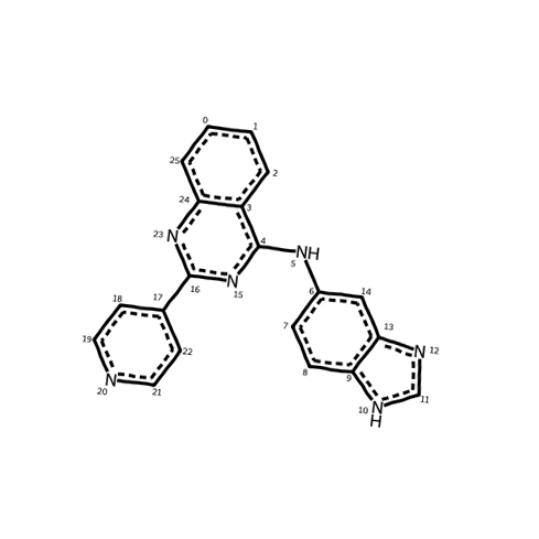 c1ccc2c(Nc3ccc4[nH]cnc4c3)nc(-c3ccncc3)nc2c1